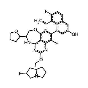 C=Cc1c(F)ccc2cc(O)cc(-c3nc4c5c(nc(OC[C@@]67CCCN6C[C@H](F)C7)nc5c3F)N[C@@H](C3CCCO3)CO4)c12